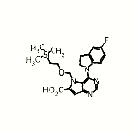 C[Si](C)(C)CCOCn1c(C(=O)O)cc2ncnc(N3CCc4cc(F)ccc43)c21